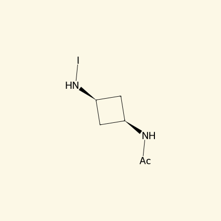 CC(=O)N[C@H]1C[C@@H](NI)C1